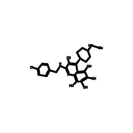 CC(C)(C)NC1CCN(c2c(C#N)c(NCc3ccc(Cl)cc3)nc3c(O)c(O)c(O)c(O)c23)CC1